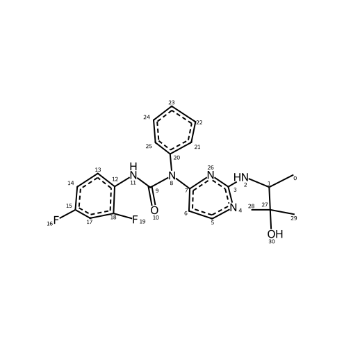 CC(Nc1nccc(N(C(=O)Nc2ccc(F)cc2F)c2ccccc2)n1)C(C)(C)O